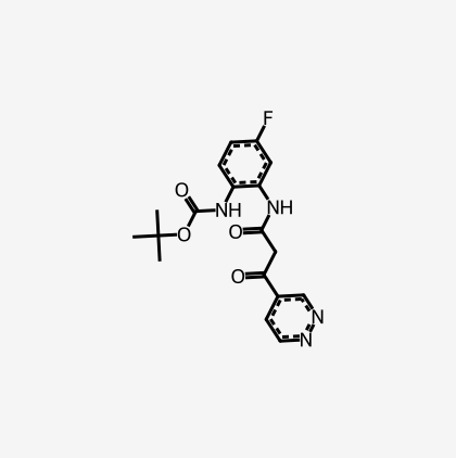 CC(C)(C)OC(=O)Nc1ccc(F)cc1NC(=O)CC(=O)c1ccnnc1